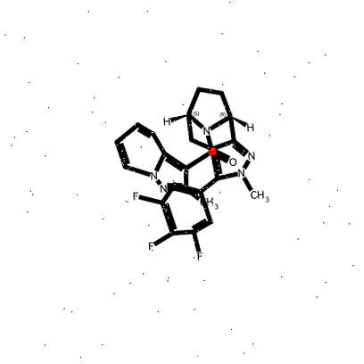 Cc1nn2ccccc2c1C(=O)N1[C@H]2CC[C@@H]1c1nn(C)c(-c3cc(F)c(F)c(F)c3)c1C2